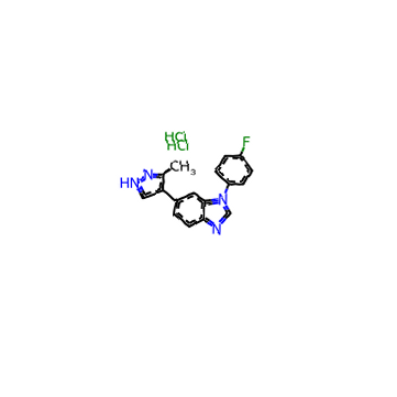 Cc1n[nH]cc1-c1ccc2ncn(-c3ccc(F)cc3)c2c1.Cl.Cl